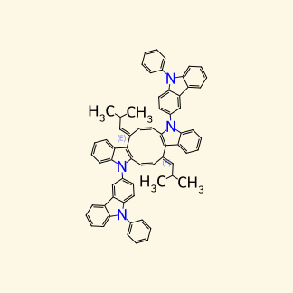 CC(C)/C=c1\ccc2c(/c(=C/C(C)C)ccc3c1c1ccccc1n3-c1ccc3c(c1)c1ccccc1n3-c1ccccc1)c1ccccc1n2-c1ccc2c(c1)c1ccccc1n2-c1ccccc1